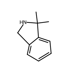 CC1(C)NCc2ccccc21